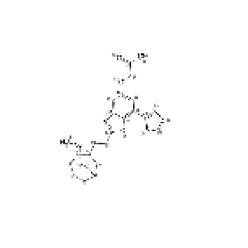 C=CC1CC2CCC1CC(CCc1nc3cc(OCC(=O)O)cc(-c4nccs4)c3o1)C2